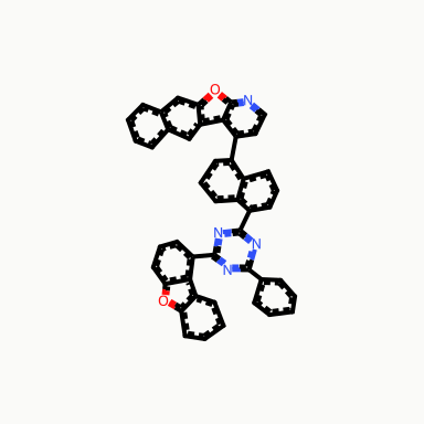 c1ccc(-c2nc(-c3cccc4c(-c5ccnc6oc7cc8ccccc8cc7c56)cccc34)nc(-c3cccc4oc5ccccc5c34)n2)cc1